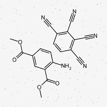 COC(=O)c1ccc(N)c(C(=O)OC)c1.N#Cc1ccc(C#N)c(C#N)c1C#N